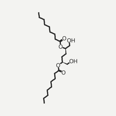 CCCCCCCCC(=O)O[C@H](CO)CC[C@H](CO)OC(=O)CCCCCCCC